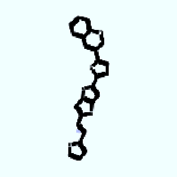 C1=C(c2ccc(-c3cc4sc(/C=C/c5cccs5)cc4s3)s2)COc2ccccc21